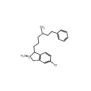 C[C@@H]1Cc2cc(Cl)ccc2C1CCCN(C)CCc1ccccc1